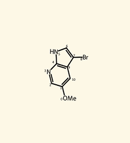 COc1cnc2[nH]cc(Br)c2c1